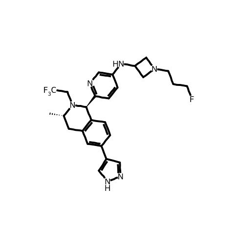 C[C@H]1Cc2cc(-c3cn[nH]c3)ccc2[C@H](c2ccc(NC3CN(CCCF)C3)cn2)N1CC(F)(F)F